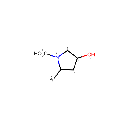 CC(C)C1CC(O)CN1C(=O)O